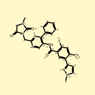 CN1CC(=O)N(Cc2ncc(NC(=O)c3cc(-c4ccn(C)n4)c(C(F)(F)F)cc3F)c(-c3ccccc3)n2)C1=O